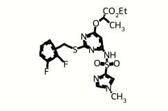 CCOC(=O)[C@@H](C)Oc1cc(NS(=O)(=O)c2cn(C)cn2)nc(SCc2cccc(F)c2F)n1